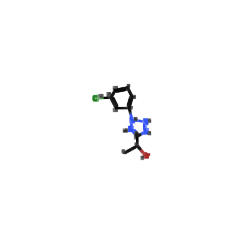 CC(Br)c1nnn(-c2cccc(Cl)c2)n1